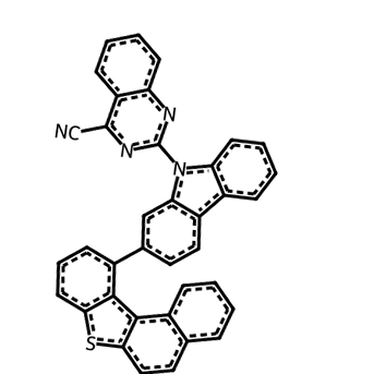 N#Cc1nc(-n2c3ccccc3c3ccc(-c4cccc5sc6ccc7ccccc7c6c45)cc32)nc2ccccc12